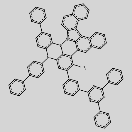 Cc1c(-c2cccc(-c3nc(-c4ccccc4)nc(-c4ccccc4)n3)c2)cc2c3c1-c1cc4ccccc4c4c5c6ccccc6ccc5n(c14)B3c1cc(-c3ccccc3)ccc1N2c1ccc(-c2ccccc2)cc1